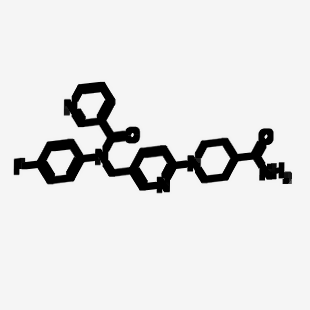 NC(=O)C1CCN(c2ccc(CN(C(=O)c3cccnc3)c3ccc(F)cc3)cn2)CC1